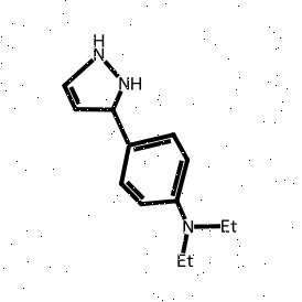 CCN(CC)c1ccc(C2C=CNN2)cc1